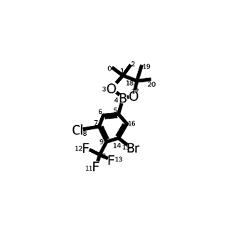 CC1(C)OB(c2cc(Cl)c(C(F)(F)F)c(Br)c2)OC1(C)C